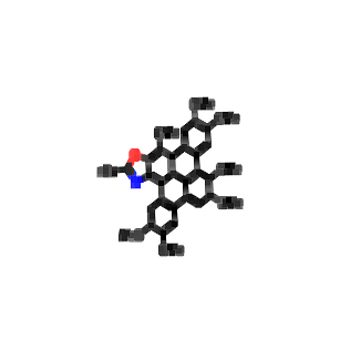 CCCCc1nc2c(o1)c(OC)c1c3cc(OC)c(OC)cc3c3c(OC)c(OC)cc4c5cc(OC)c(OC)cc5c2c1c43